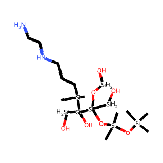 C[Si](C)(C)O[Si](C)(C)O[Si](O[SiH2]O)([SiH2]O)[Si](O)([SiH2]O)[Si](C)(C)CCCNCCN